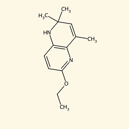 CCOc1ccc2c(n1)C(C)=CC(C)(C)N2